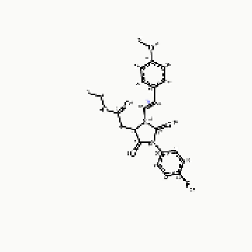 CCOC(=O)CC1C(=O)N(c2ccc(F)cc2)C(=S)N1/C=C/c1ccc(OC)cc1